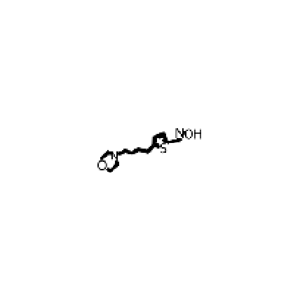 O/N=C/c1ccc(CCCCN2CCOCC2)s1